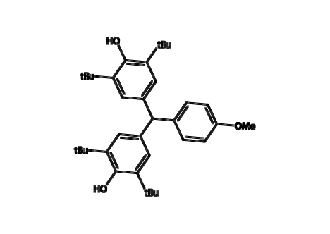 COc1ccc(C(c2cc(C(C)(C)C)c(O)c(C(C)(C)C)c2)c2cc(C(C)(C)C)c(O)c(C(C)(C)C)c2)cc1